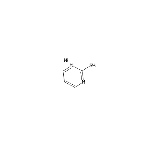 Sc1ncccn1.[Ni]